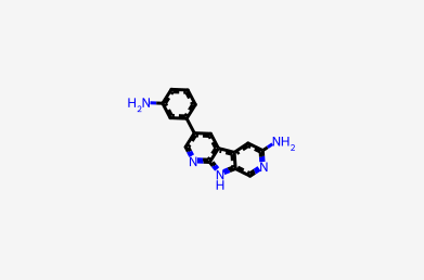 Nc1cccc(-c2cnc3[nH]c4cnc(N)cc4c3c2)c1